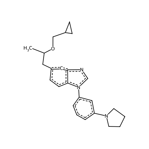 CC(Cc1ccc2c(c1)ncn2-c1cccc(N2CCCC2)c1)OCC1CC1